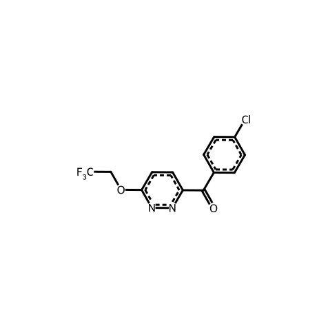 O=C(c1ccc(Cl)cc1)c1ccc(OCC(F)(F)F)nn1